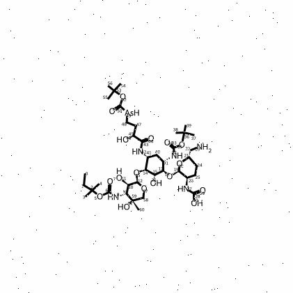 CCC(C)(C)OC(=O)N[C@@H]1[C@@H](O)[C@@H](O[C@@H]2[C@@H](O)[C@H](O[C@H]3O[C@H](CN)CC[C@H]3NC(=O)O)[C@@H](NC(=O)OC(C)(C)C)C[C@H]2NC(=O)[C@@H](O)CC[AsH]C(=O)OC(C)(C)C)OC[C@]1(C)O